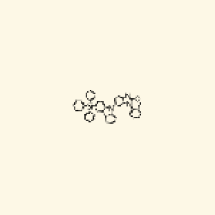 c1ccc([Si](c2ccccc2)(c2ccccc2)c2ccc3c(c2)c2ccccc2n3-c2ccc3nc4n(c3c2)-c2ccccc2CO4)cc1